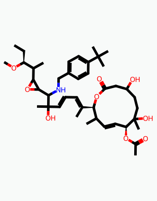 CC[C@H](OC)C(C)C1OC1C(NCc1ccc(C(C)(C)C)cc1)C(C)(O)/C=C/C=C(\C)[C@H]1OC(=O)CC(O)CCC(C)(O)[C@@H](OC(C)=O)/C=C/C1C